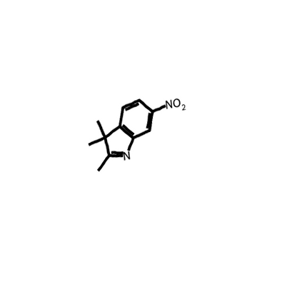 CC1=Nc2cc([N+](=O)[O-])ccc2C1(C)C